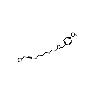 COc1ccc(COCCCCCCCC#CCCl)cc1